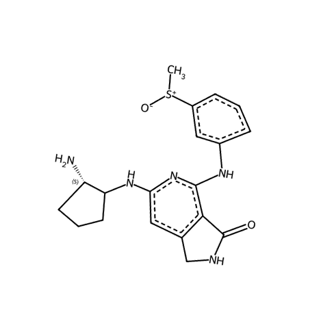 C[S+]([O-])c1cccc(Nc2nc(NC3CCC[C@@H]3N)cc3c2C(=O)NC3)c1